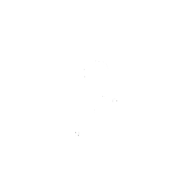 N#CCCC(=O)C1CCCCC1